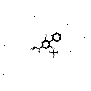 O=CNc1cc(Cl)c(-c2ccccc2)c(OC(F)(F)F)c1